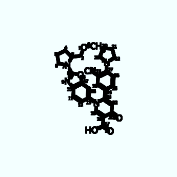 COCC1CCCN1c1nc2ccc(-n3cc(C(=O)O)c(=O)cc3-c3ccc(N4CCCC4)c(Cl)c3)cc2o1